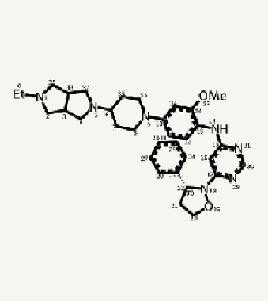 CCN1CC2CN(C3CCN(c4ccc(Nc5cc(N6OCC[C@@H]6c6ccccc6)ncn5)c(OC)c4)CC3)CC2C1